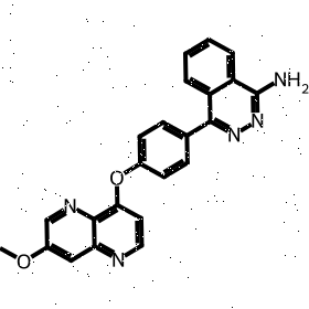 COc1cnc2c(Oc3ccc(-c4nnc(N)c5ccccc45)cc3)ccnc2c1